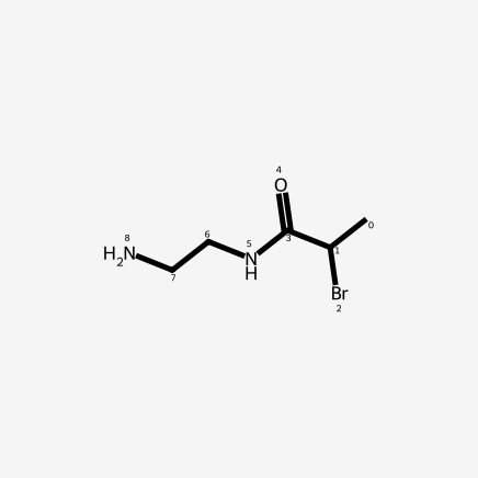 CC(Br)C(=O)NCCN